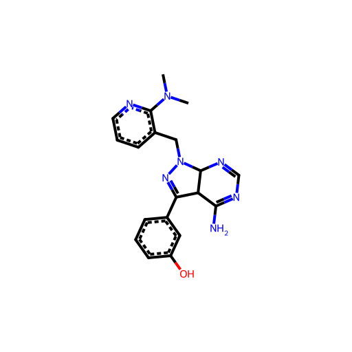 CN(C)c1ncccc1CN1N=C(c2cccc(O)c2)C2C(N)=NC=NC21